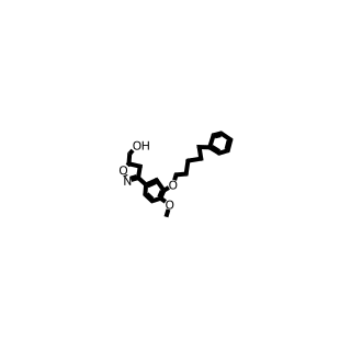 COc1ccc(C2=NOC(CO)C2)cc1OCCCCCc1ccccc1